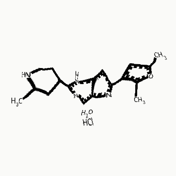 Cc1cc(-c2cc3[nH]c(C4CCNC(C)C4)ncc-3n2)c(C)o1.Cl.O